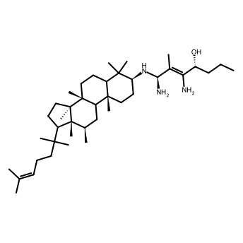 CCC[C@@H](O)/C(N)=C(\C)[C@@H](N)N[C@H]1CC[C@@]2(C)C(CC[C@]3(C)C2C[C@@H](C)[C@]2(C)C(C(C)(C)CCC=C(C)C)CC[C@]23C)C1(C)C